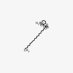 CCCCCCCCCCCCCCCCCCOP1(=O)OC2CCC[N+](C)(C)C2O1